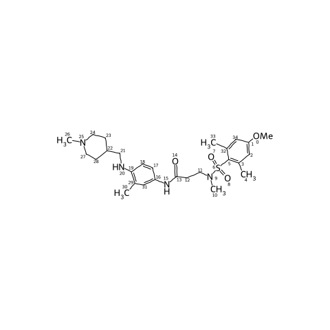 COc1cc(C)c(S(=O)(=O)N(C)CCC(=O)Nc2ccc(NCC3CCN(C)CC3)c(C)c2)c(C)c1